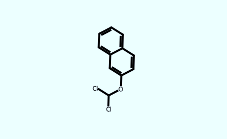 ClC(Cl)Oc1ccc2ccccc2c1